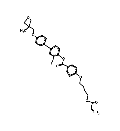 C=CC(=O)OCCCCOc1ccc(C(=O)Oc2ccc(-c3ccc(OCC4(C)COC4)cc3)cc2F)cc1